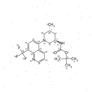 C[C@@H]1C[C@@H](NC(=O)OC(C)(C)C)CN(c2ccc(C(F)(F)F)c3ncccc23)C1